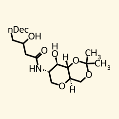 CCCCCCCCCCCC(O)CC(=O)N[C@H]1CO[C@@H]2COC(C)(C)O[C@H]2[C@@H]1O